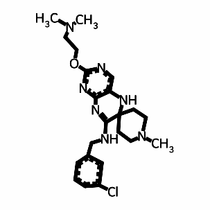 CN(C)CCOc1ncc2c(n1)N=C(NCc1cccc(Cl)c1)C1(CCN(C)CC1)N2